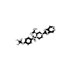 O=C(O)[C@H]1CN(c2nc3cnncc3s2)CCN1S(=O)(=O)c1ccc(OC(F)(F)F)cc1